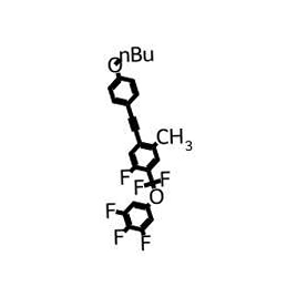 CCCCOc1ccc(C#Cc2cc(F)c(C(F)(F)Oc3cc(F)c(F)c(F)c3)cc2C)cc1